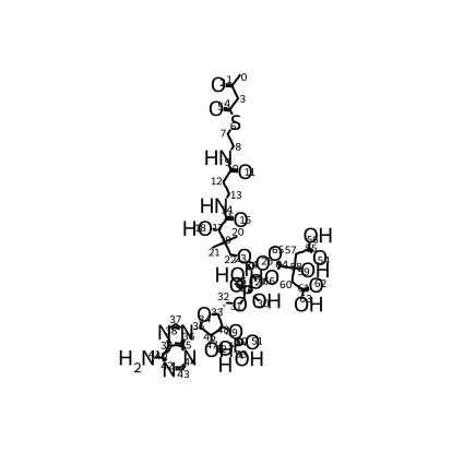 CC(=O)CC(=O)SCCNC(=O)CCNC(=O)[C@H](O)C(C)(C)COP(=O)(O)OP(=O)(O)OC[C@H]1O[C@@H](n2cnc3c(N)ncnc32)[C@H](O)[C@@H]1OP(=O)(O)O.O=C(O)CC(O)(CC(=O)O)C(=O)O